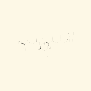 CC(C)CC(NC(=O)C(C)CC(CN)CC(=O)O)C(=O)NC(C=O)CNC(=N)N